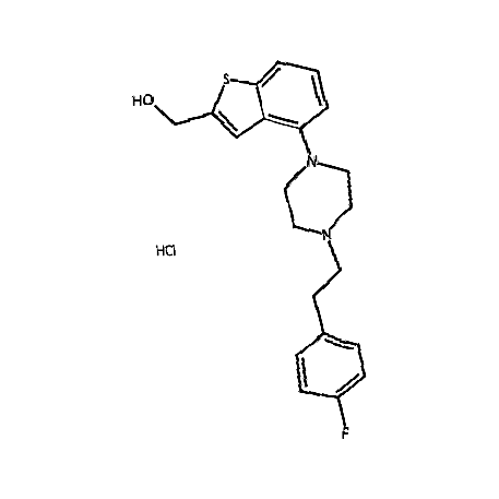 Cl.OCc1cc2c(N3CCN(CCc4ccc(F)cc4)CC3)cccc2s1